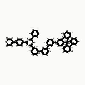 c1ccc(-c2nc(-c3ccc(-c4ccncc4)cc3)nc(-c3cccc(-c4cccc(-c5cccc(-c6ccc7c(c6)-c6ccccc6C76c7ccccc7-c7ccccc76)c5)c4)c3)n2)cc1